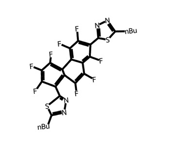 CCCCc1nnc(-c2c(F)c(F)c3c(c2F)c(F)c(F)c2c(-c4nnc(CCCC)s4)c(F)c(F)c(F)c23)s1